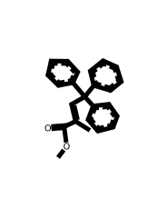 COC(=O)C(C)=CC(c1ccccc1)(c1ccccc1)c1ccccc1